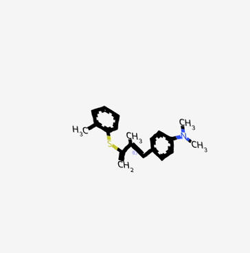 C=C(Sc1ccccc1C)/C(C)=C/c1ccc(N(C)C)cc1